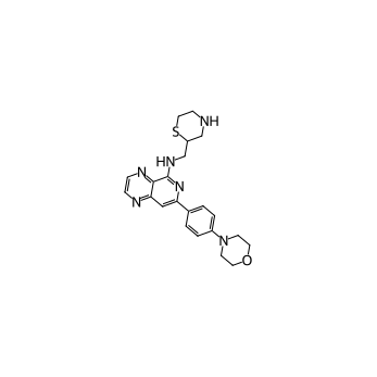 c1cnc2c(NCC3CNCCS3)nc(-c3ccc(N4CCOCC4)cc3)cc2n1